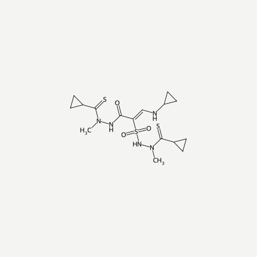 CN(NC(=O)C(=CNC1CC1)S(=O)(=O)NN(C)C(=S)C1CC1)C(=S)C1CC1